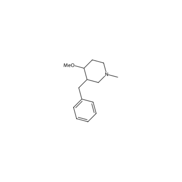 COC1CCN(C)CC1Cc1ccccc1